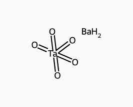 [BaH2].[O]=[Ta](=[O])(=[O])(=[O])=[O]